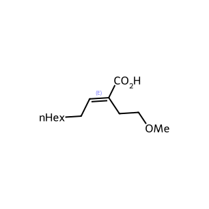 CCCCCCC/C=C(\CCOC)C(=O)O